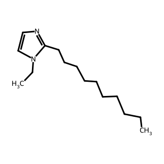 CCCCCCCCCCc1nccn1CC